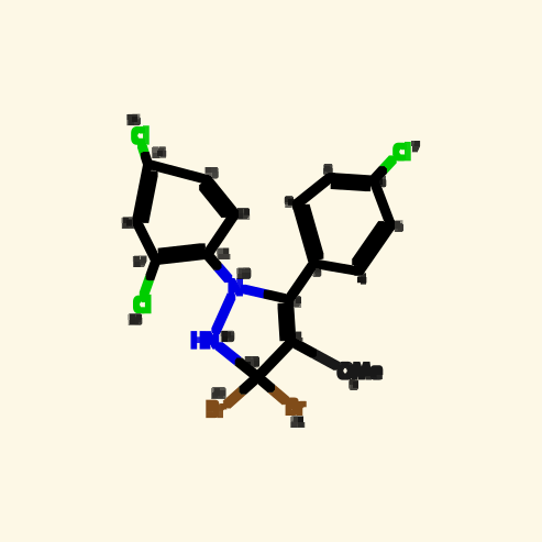 COC1=C(c2ccc(Cl)cc2)N(c2ccc(Cl)cc2Cl)NC1(Br)Br